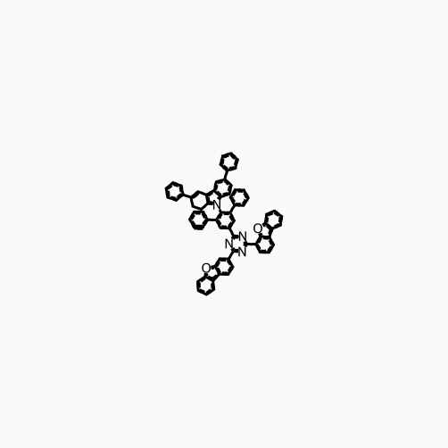 c1cccc(-c2cc(-c3nc(-c4ccc5c(c4)oc4ccccc45)nc(-c4cccc5c4oc4ccccc45)n3)cc(-c3ccccc3)c2-n2c3c(c4cc(-c5ccccc5)ccc42)C=C(c2ccccc2)CC3)c#1